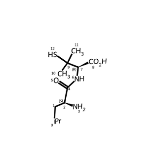 CC(C)C[C@H](N)C(=O)N[C@H](C(=O)O)C(C)(C)S